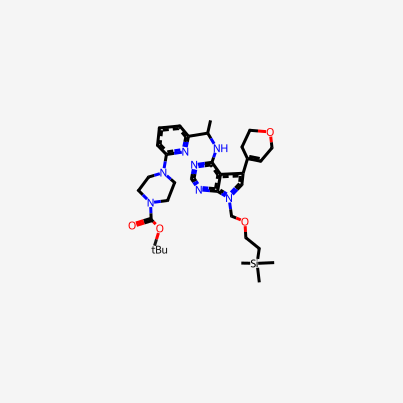 CC(Nc1ncnc2c1c(C1=CCOCC1)cn2COCC[Si](C)(C)C)c1cccc(N2CCN(C(=O)OC(C)(C)C)CC2)n1